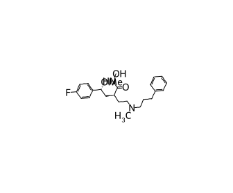 CO[C@H](C[C@H](CCN(C)CCCc1ccccc1)C(=O)NO)c1ccc(F)cc1